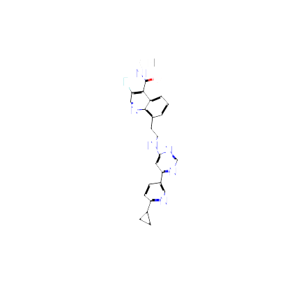 CNC(=O)c1c(F)cnc2c(CCNc3cc(-c4ccc(C5CC5)nc4)ncn3)cccc12